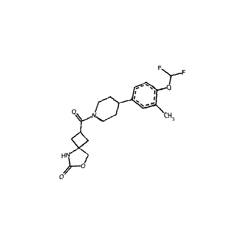 Cc1cc(C2CCN(C(=O)C3CC4(COC(=O)N4)C3)CC2)ccc1OC(F)F